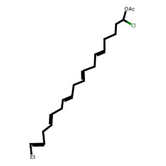 CC/C=C/C/C=C/C/C=C/C/C=C/C/C=C/CCCC(Cl)OC(C)=O